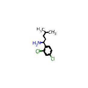 CC(C)CCC(N)c1ccc(Cl)cc1Cl